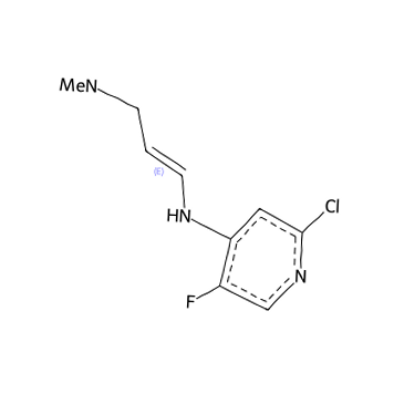 CNC/C=C/Nc1cc(Cl)ncc1F